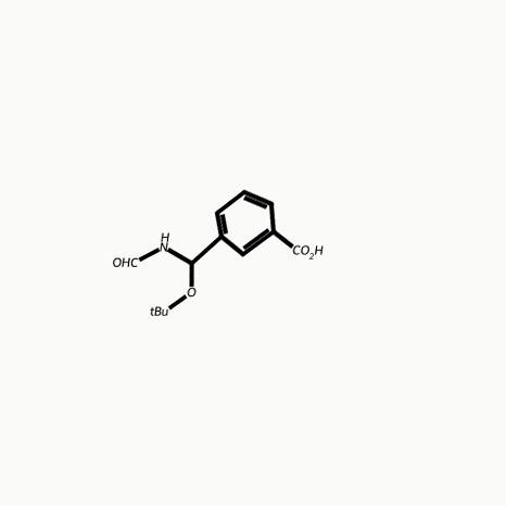 CC(C)(C)OC(NC=O)c1cccc(C(=O)O)c1